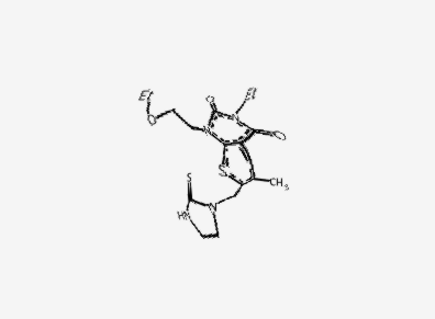 CCOCCn1c(=O)n(CC)c(=O)c2c(C)c(CN3CCNC3=S)sc21